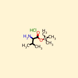 CC(C)C(N)C(=O)O[Si](C)(C)C.Cl